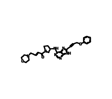 O=C(C=CCN1CCOCC1)N1CCC(Nc2ncnc3[nH]c(C#CCOc4ccccc4)nc23)C1